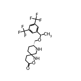 C[C@@H](OC[C@H]1CCC2(CCC(=O)ON2)CN1)c1cc(C(F)(F)F)cc(C(F)(F)F)c1